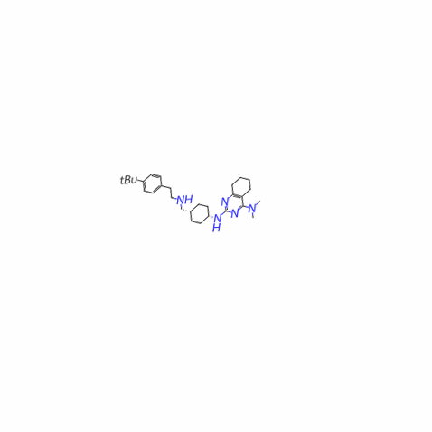 CN(C)c1nc(N[C@H]2CC[C@@H](CNCCc3ccc(C(C)(C)C)cc3)CC2)nc2c1CCCC2